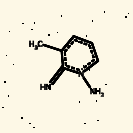 Cc1cccn(N)c1=N